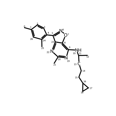 Cc1ccc(-c2noc3c(NC(C)CCCC4CC4)nc(C)nc23)c(C)c1